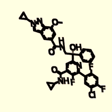 COc1cc(C(=O)NC[C@@](O)(c2ccccc2)c2cc(C(=O)NC3CC3)c(F)c(-c3cc(Cl)c(F)cc3F)n2)cc2cn(C3CC3)nc12